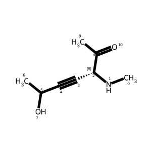 CN[C@H](C#CC(C)O)C(C)=O